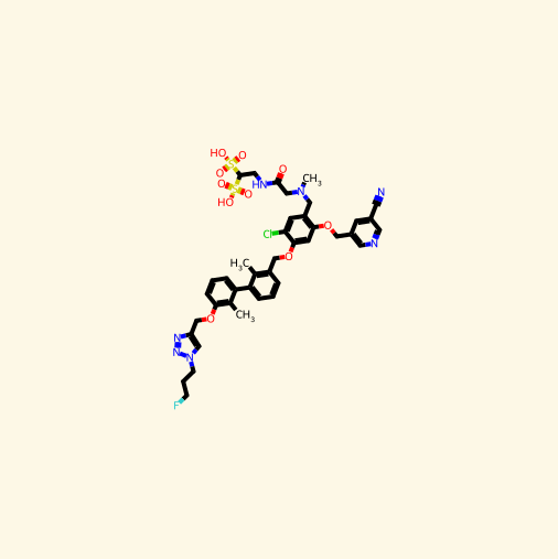 Cc1c(COc2cc(OCc3cncc(C#N)c3)c(CN(C)CC(=O)NCC(S(=O)(=O)O)S(=O)(=O)O)cc2Cl)cccc1-c1cccc(OCc2cn(CCCF)nn2)c1C